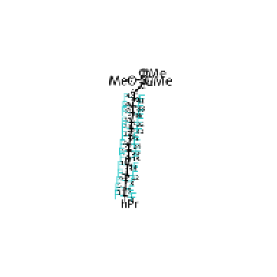 CCCC(F)(F)C(F)(F)C(F)(F)C(F)(F)C(F)(F)C(F)(F)C(F)(F)C(F)(F)C(F)(F)C(F)(F)C(F)(F)C(F)(F)C(F)(F)C(F)(F)CC[Si](OC)(OC)OC